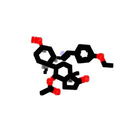 CCOc1ccc(/C=C/[C@H]2C[C@@H](O)CC[C@]2(C)C2CC[C@]3(C)C(=O)CCC3C2OC(C)=O)cc1